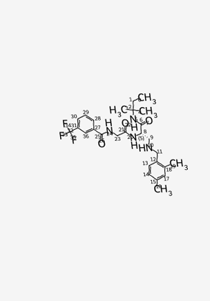 CCC(C)(C)NC(=O)[C@H](CNCc1ccc(C)cc1C)NC(=O)CNC(=O)c1cccc(C(F)(F)F)c1